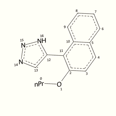 CCCOc1ccc2ccccc2c1-c1[c]nn[nH]1